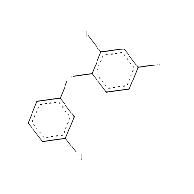 O=[N+]([O-])c1cccc(Oc2ccc(Cl)cc2Cl)c1